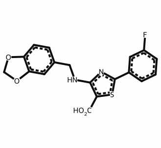 O=C(O)c1sc(-c2cccc(F)c2)nc1NCc1ccc2c(c1)OCO2